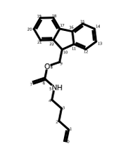 C=CCCCNC(=C)OCC1c2ccccc2-c2ccccc21